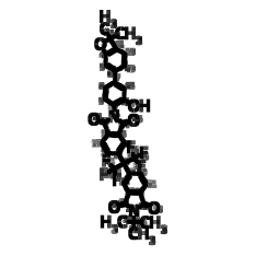 CC1(C)Oc2cc(-c3ccc(N4C(=O)c5ccc(C(c6ccc7c(c6)C(=O)N(C(C)(C)C)C7=O)(C(F)(F)F)C(F)(F)F)cc5C4=O)c(O)c3)ccc21